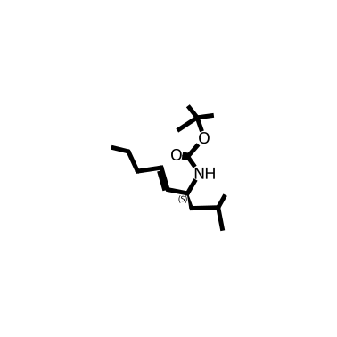 CCCC=C[C@H](CC(C)C)NC(=O)OC(C)(C)C